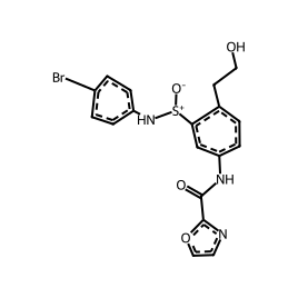 O=C(Nc1ccc(CCO)c([S+]([O-])Nc2ccc(Br)cc2)c1)c1ncco1